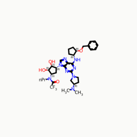 CCCN(C(=O)C(F)(F)F)[C@H]1C[C@@H](n2cnc3c(N[C@@H]4CCC[C@H]4OCc4ccccc4)nc(N4CC[C@@H](N(C)C)C4)nc32)[C@H](O)[C@@H]1O